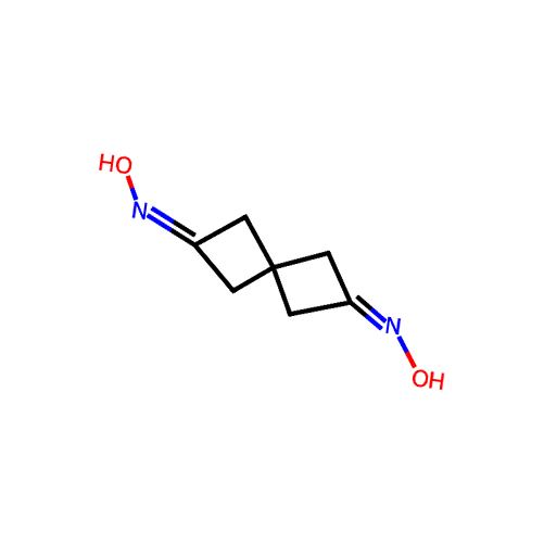 ON=C1CC2(C1)CC(=NO)C2